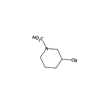 N#CC1CCCN(C(=O)O)C1